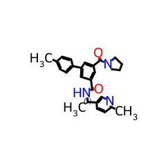 Cc1ccc(-c2cc(C(=O)N[C@@H](C)c3ccc(C)nc3)cc(C(=O)N3CCCC3)c2)cc1